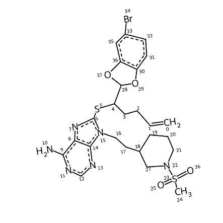 C=CCCC(Sc1nc2c(N)ncnc2n1CCC1CCCN(S(C)(=O)=O)C1)C1Oc2ccc(Br)cc2O1